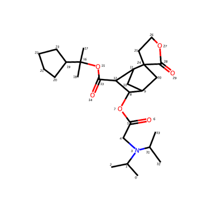 CC(C)N(CC(=O)OC1C2CC(C1C(=O)OC(C)(C)C1CCCC1)C1(CCOC1=O)C2)C(C)C